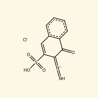 N=[N+]=C1C(=O)c2ccccc2C=C1S(=O)(=O)O.[Cl-]